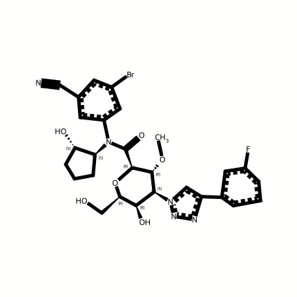 CO[C@@H]1[C@@H](n2cc(-c3cccc(F)c3)nn2)[C@@H](O)[C@@H](CO)O[C@H]1C(=O)N(c1cc(Br)cc(C#N)c1)[C@H]1CCC[C@@H]1O